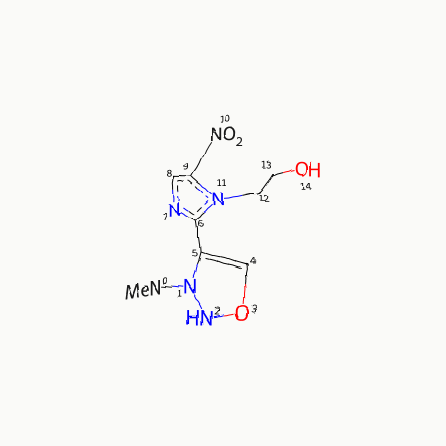 CNN1NOC=C1c1ncc([N+](=O)[O-])n1CCO